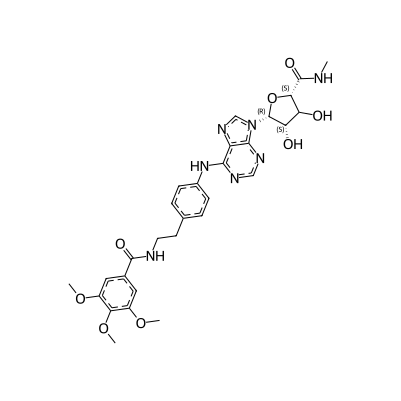 CNC(=O)[C@H]1O[C@@H](n2cnc3c(Nc4ccc(CCNC(=O)c5cc(OC)c(OC)c(OC)c5)cc4)ncnc32)[C@@H](O)C1O